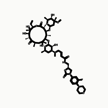 CC[C@H]1OC(=O)[C@H](C)[C@@H](O[C@@H]2C[C@@](C)(OC)[C@@H](O)[C@H](C)O2)[C@H](C)[C@@H](O[C@@H]2O[C@H](C)C[C@H](N(C)C/C=C/C(=O)NC[C@H]3CN(c4ccc(N5CCOCC5)c(F)c4)C(=O)O3)[C@H]2O)[C@](C)(O)C[C@@H](C)C(=O)[C@H](C)[C@@H](O)[C@]1(C)O